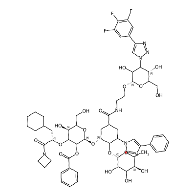 CC1O[C@@H](OC2C(n3cc(-c4ccccc4)nn3)CC(C(=O)NCCO[C@H]3OC(CO)[C@@H](O)C(n4cc(-c5cc(F)c(F)c(F)c5)nn4)C3O)C[C@H]2O[C@@H]2OC(CO)[C@H](O)C(O[C@@H](CC3CCCCC3)C(=O)N3CCC3)C2OC(=O)c2ccccc2)C(O)C(O)[C@@H]1O